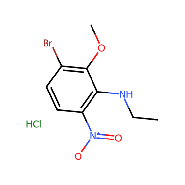 CCNc1c([N+](=O)[O-])ccc(Br)c1OC.Cl